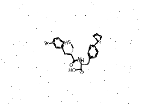 O=C(N[C@@H](Cc1ccc(-c2cccs2)cc1)C(=O)O)[C@@H](CS)Cc1cccc(Br)c1